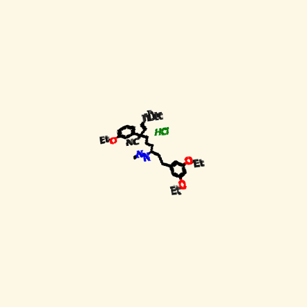 CCCCCCCCCCCCC(C#N)(CCCC(CCc1cc(OCC)cc(OCC)c1)N=NC)c1cccc(OCC)c1.Cl